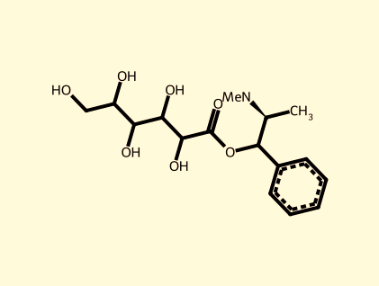 CN[C@@H](C)C(OC(=O)C(O)C(O)C(O)C(O)CO)c1ccccc1